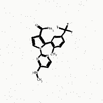 CNc1ccnc(-n2ccc(C(N)=O)c2-c2cc(C(F)(F)F)ccc2C)n1